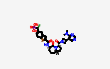 CN(C)c1ncncc1C1CN(C(=O)[C@@H]2CC[C@@H]3CCC[C@H](NC(=O)c4cc5cc(C(F)P(=O)(O)O)ccc5s4)C(=O)N32)C1